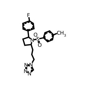 Cc1ccc(S(=O)(=O)N2C(CCCn3cnnn3)CCC2c2ccc(F)cc2)cc1